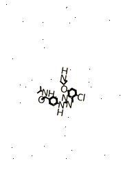 CC(C)NC(=O)c1ccc(Nc2ncc3c(Cl)ccc(OC4CNC4)c3n2)cc1